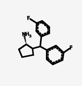 N[C@H]1CCCC1C(c1cccc(F)c1)c1cccc(F)c1